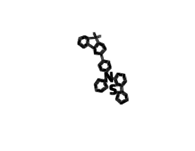 CC1(C)c2ccccc2-c2cc(-c3ccc(N(c4ccccc4)c4cccc5c4sc4ccccc45)cc3)ccc21